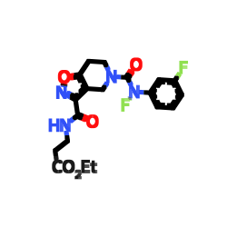 CCOC(=O)CCNC(=O)c1noc2c1CN(C(=O)N(F)c1cccc(F)c1)CC2